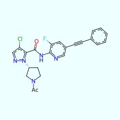 CC(=O)N1CC[C@@H](n2ncc(Cl)c2C(=O)Nc2ncc(C#Cc3ccccc3)cc2F)C1